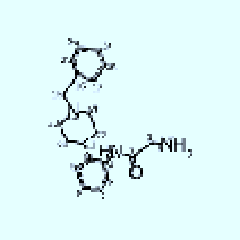 NCC(=O)Nc1ccccc1C1CCN(Cc2ccccc2)CC1